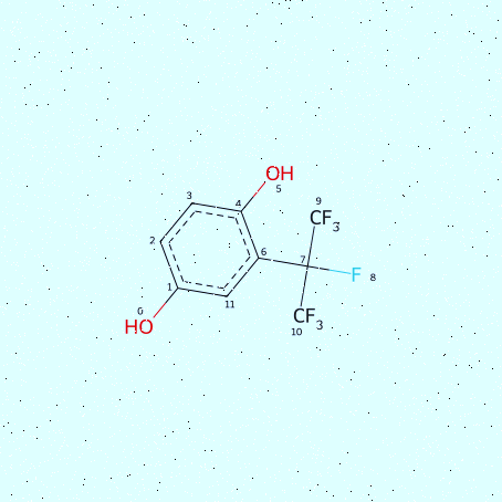 Oc1ccc(O)c(C(F)(C(F)(F)F)C(F)(F)F)c1